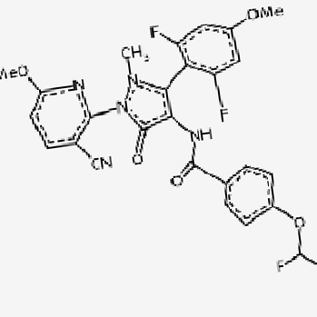 COc1cc(F)c(-c2c(NC(=O)c3ccc(OC(F)F)cc3)c(=O)n(-c3nc(OC)ccc3C#N)n2C)c(F)c1